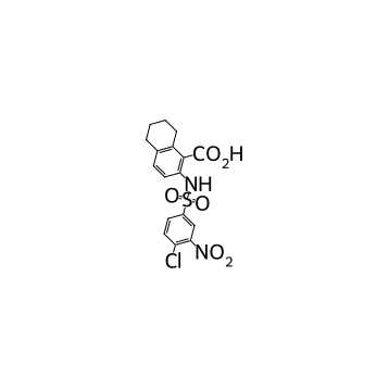 O=C(O)c1c(NS(=O)(=O)c2ccc(Cl)c([N+](=O)[O-])c2)ccc2c1CCCC2